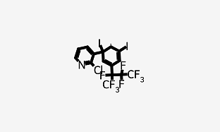 FC(F)(F)C(F)(F)C(F)(C1=CC(I)(c2cccnc2Cl)[CH]C(I)=C1)C(F)(F)F